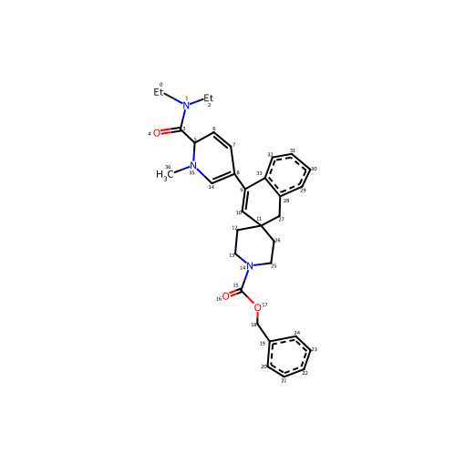 CCN(CC)C(=O)C1C=CC(C2=CC3(CCN(C(=O)OCc4ccccc4)CC3)Cc3ccccc32)=CN1C